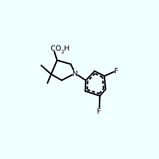 CC1(C)CN(c2cc(F)cc(F)c2)CC1C(=O)O